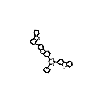 c1ccc(-c2nc(-c3ccc4c(c3)oc3ccccc34)nc(-c3ccc4c(c3)sc3cc(-c5cccc6c5sc5ccccc56)ccc34)n2)cc1